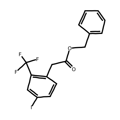 O=C(Cc1ccc(I)cc1C(F)(F)F)OCc1ccccc1